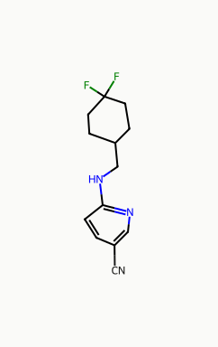 N#Cc1ccc(NCC2CCC(F)(F)CC2)nc1